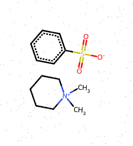 C[N+]1(C)CCCCC1.O=S(=O)([O-])c1ccccc1